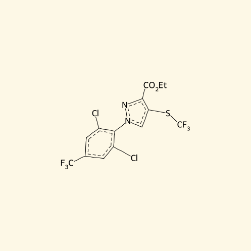 CCOC(=O)c1nn(-c2c(Cl)cc(C(F)(F)F)cc2Cl)cc1SC(F)(F)F